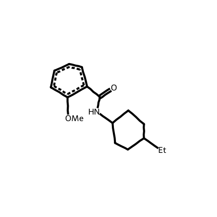 CCC1CCC(NC(=O)c2ccccc2OC)CC1